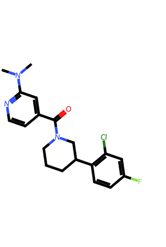 CN(C)c1cc(C(=O)N2CCCC(c3ccc(F)cc3Cl)C2)ccn1